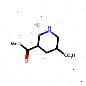 COC(=O)C1CNCC(C(=O)O)C1.Cl